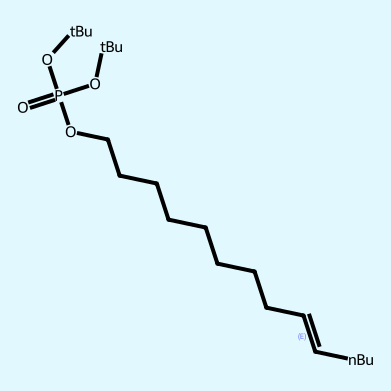 CCCC/C=C/CCCCCCCCOP(=O)(OC(C)(C)C)OC(C)(C)C